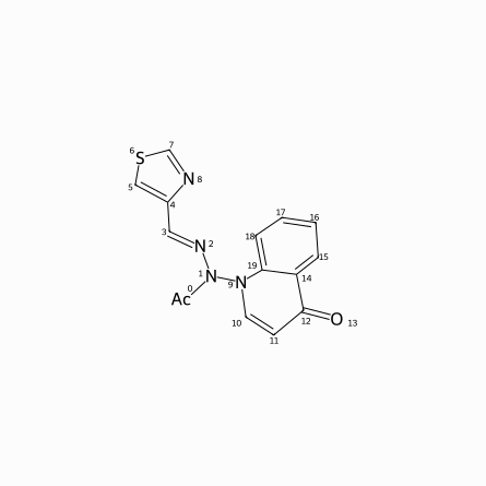 CC(=O)N(N=Cc1cscn1)n1ccc(=O)c2ccccc21